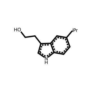 CC(C)c1ccc2[nH]cc(CCO)c2c1